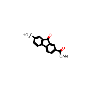 COC(=O)c1ccc2c(c1)C(=O)c1cc(C(=O)O)ccc1-2